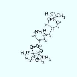 CC1(C)OCC(CN/C=C(\C=N)B2OC(C)(C)C(C)(C)O2)CO1